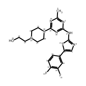 Cc1nc(Nc2ncc(-c3ccc(F)c(F)c3)s2)nc(N2CCN(CCO)CC2)n1